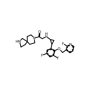 O=C(CNC1CC1c1cc(F)cc(F)c1OCc1cccnc1F)N1CCC2(CCNC2)CC1